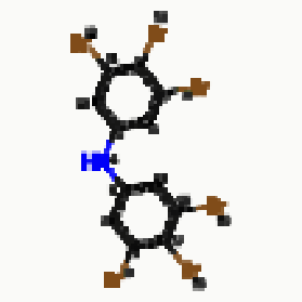 Brc1cc(Nc2cc(Br)c(Br)c(Br)c2)cc(Br)c1Br